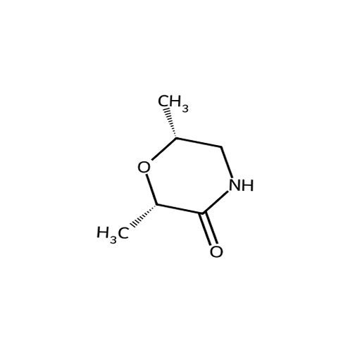 C[C@@H]1CNC(=O)[C@H](C)O1